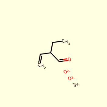 C=CC(C=O)CC.[O-2].[O-2].[Ti+4]